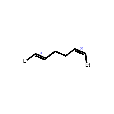 [Li]/[CH]=C/CC/C=C\CC